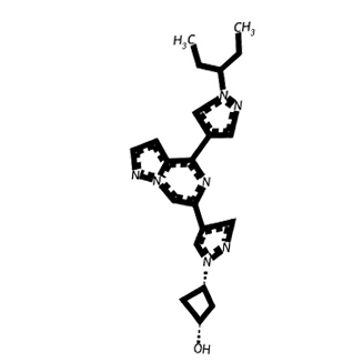 CCC(CC)n1cc(-c2nc(-c3cnn([C@H]4C[C@@H](O)C4)c3)cn3nccc23)cn1